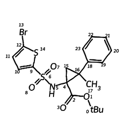 CC(C)(C)OC(=O)C1(NS(=O)(=O)c2ccc(Br)s2)CC1(C)c1ccccc1